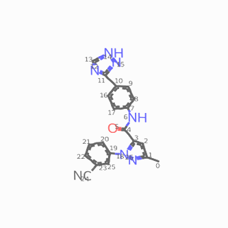 Cc1cc(C(=O)Nc2ccc(-c3nc[nH]n3)cc2)n(-c2cccc(C#N)c2)n1